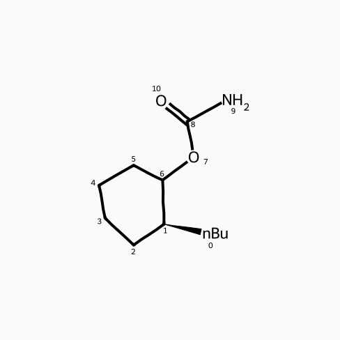 CCCC[C@H]1CCCCC1OC(N)=O